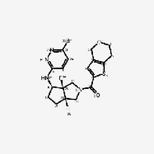 O=C(c1cc2c(s1)CCOC2)N1C[C@@H]2CC[C@@H](Nc3ccc(Br)nn3)[C@]2(F)C1